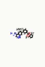 CC[C@@]12CCC[C@]1(CC)OB(c1ccc(OC)c(-c3ccc4c(N)cnnc4c3)c1)O2